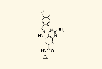 COc1c(C)cnc(CN2NC3CC(C(=O)NC4CC4)Sc4nc(N)nc2c43)c1C